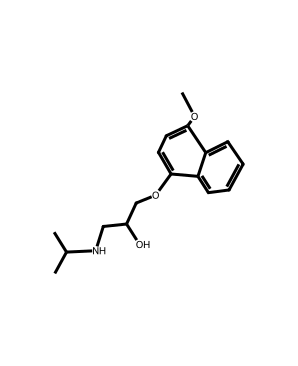 COc1ccc(OCC(O)CNC(C)C)c2ccccc12